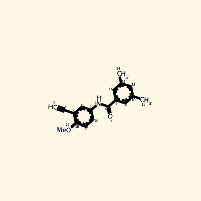 C#Cc1cc(NC(=O)c2cc(C)cc(C)c2)ccc1OC